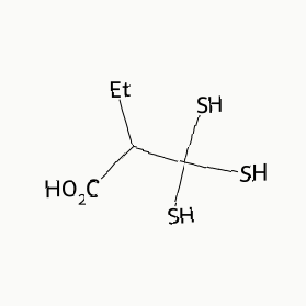 CCC(C(=O)O)C(S)(S)S